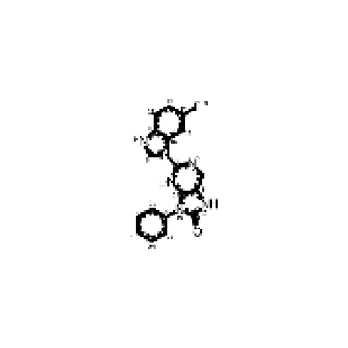 O=c1[nH]c2cnc(-n3cnc4ccc(F)cc43)nc2n1-c1ccccc1